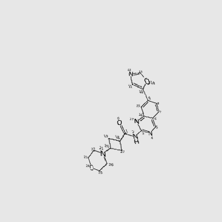 O=C(Nc1ncc2ccc(-c3cnco3)cc2n1)C1CC(N2CCOCC2)C1